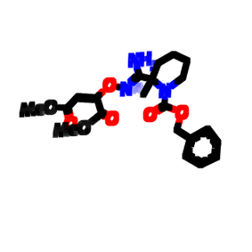 COC(=O)C=C(O/N=C(\N)C1(C)CCCCN1C(=O)OCc1ccccc1)C(=O)OC